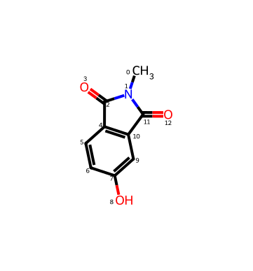 CN1C(=O)c2ccc(O)cc2C1=O